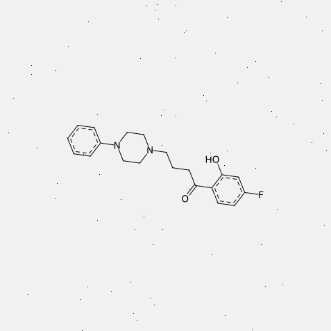 O=C(CCCN1CCN(c2ccccc2)CC1)c1ccc(F)cc1O